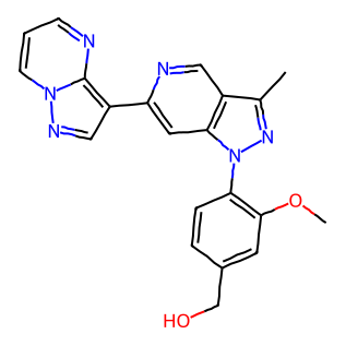 COc1cc(CO)ccc1-n1nc(C)c2cnc(-c3cnn4cccnc34)cc21